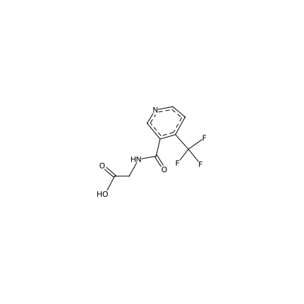 O=C(O)CNC(=O)c1cnccc1C(F)(F)F